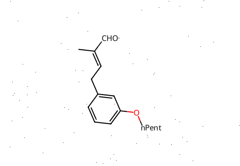 CCCCCOc1cccc(C/C=C(\C)[C]=O)c1